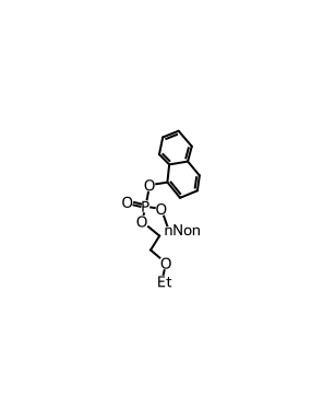 CCCCCCCCCOP(=O)(OCCOCC)Oc1cccc2ccccc12